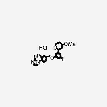 CCCc1nccn1-c1ccc(COc2cc(F)cc(C3CC(OC)CCO3)c2)cc1.Cl